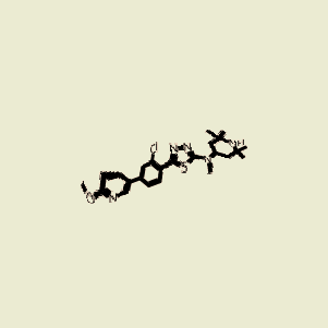 COc1ccc(-c2ccc(-c3nnc(N(C)C4CC(C)(C)NC(C)(C)C4)s3)c(Cl)c2)cn1